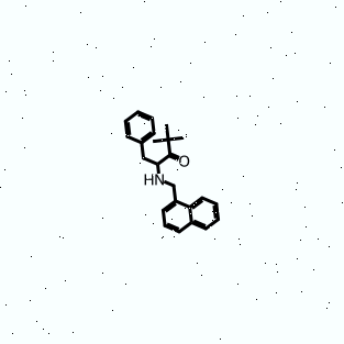 CC(C)(C)C(=O)C(Cc1ccccc1)NCc1cccc2ccccc12